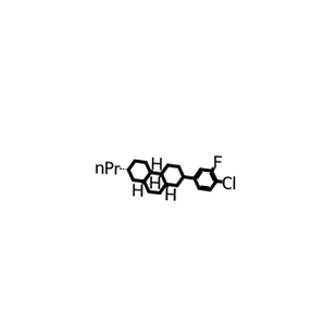 CCC[C@@H]1CC[C@H]2[C@H](CC[C@H]3CC(c4ccc(Cl)c(F)c4)CC[C@@H]32)C1